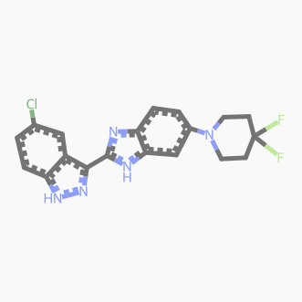 FC1(F)CCN(c2ccc3nc(-c4n[nH]c5ccc(Cl)cc45)[nH]c3c2)CC1